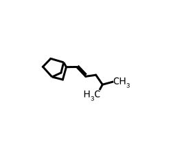 CC(C)CC=CC1CC2CCC1C2